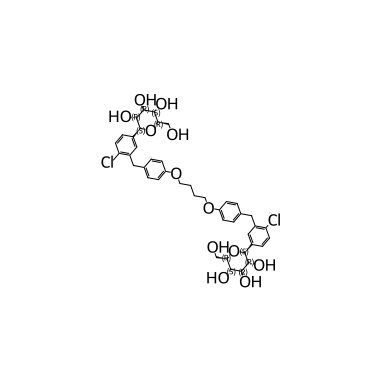 OC[C@H]1O[C@@H](c2ccc(Cl)c(Cc3ccc(OCCCCOc4ccc(Cc5cc([C@@H]6O[C@H](CO)[C@@H](O)[C@H](O)[C@H]6O)ccc5Cl)cc4)cc3)c2)[C@H](O)[C@@H](O)[C@@H]1O